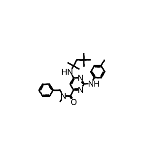 Cc1ccc(Nc2nc(NC(C)(C)CC(C)(C)C)cc(C(=O)N(C)Cc3ccccc3)n2)cc1